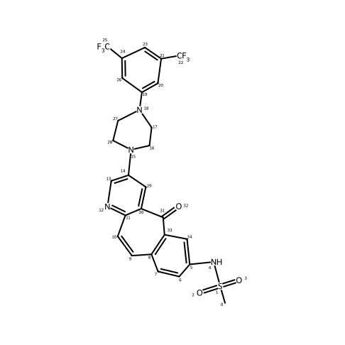 CS(=O)(=O)Nc1ccc2ccc3ncc(N4CCN(c5cc(C(F)(F)F)cc(C(F)(F)F)c5)CC4)cc3c(=O)c2c1